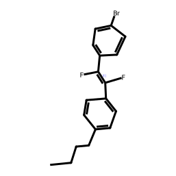 CCCCc1ccc(/C(F)=C(\F)c2ccc(Br)cc2)cc1